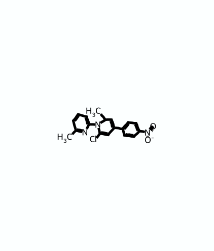 Cc1cccc(N2C(Cl)=CC(c3ccc([N+](=O)[O-])cc3)=CC2C)n1